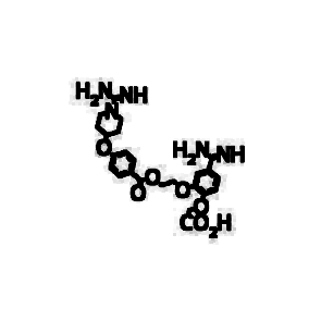 N=C(N)c1ccc(OCC(=O)O)c(OCCOC(=O)c2ccc(OC3CCN(C(=N)N)CC3)cc2)c1